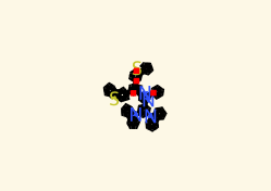 c1ccc(-c2nc(-c3cc(-c4ccc5sc6ccccc6c5c4)cc(-c4ccc5sc6ccccc6c5c4)c3)cc(-c3cc(-n4c5ccccc5c5ccccc54)cc(-n4c5ccccc5c5ccccc54)c3)n2)cc1